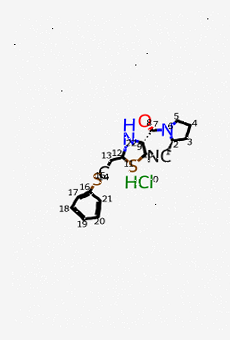 Cl.N#C[C@@H]1CCCN1C(=O)[C@@H]1CSC(CCSc2ccccc2)N1